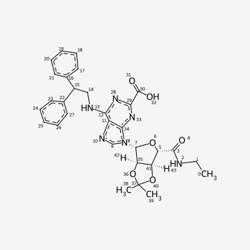 CCNC(=O)[C@H]1O[C@@H](n2cnc3c(NCC(c4ccccc4)c4ccccc4)nc(C(=O)O)nc32)[C@@H]2OC(C)(C)O[C@@H]21